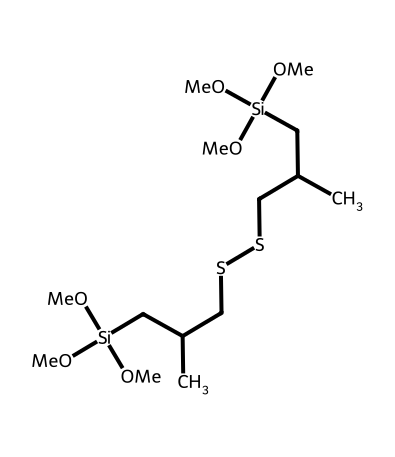 CO[Si](CC(C)CSSCC(C)C[Si](OC)(OC)OC)(OC)OC